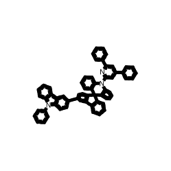 c1ccc(-c2cc(-c3ccccc3)nc(N3c4ccccc4C4(c5ccccc5-c5cc(-c6ccc7c(c6)c6ccccc6n7-c6ccccc6)ccc54)c4ccccc43)c2)cc1